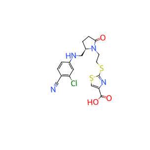 N#Cc1ccc(NC[C@H]2CCC(=O)N2CCSc2nc(C(=O)O)cs2)cc1Cl